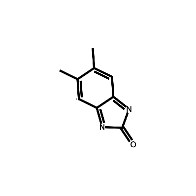 Cc1[c]c2c(cc1C)=NC(=O)N=2